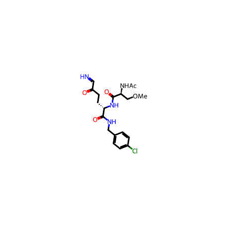 COC[C@H](NC(C)=O)C(=O)N[C@@H](CCC(=O)C=N)C(=O)NCc1ccc(Cl)cc1